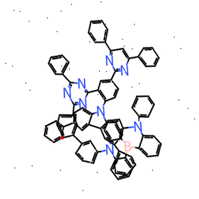 c1ccc(-c2ccc3c(c2)c2cc(-c4ccccc4)ccc2n3-c2ccc(-c3nc(-c4ccccc4)cc(-c4ccccc4)n3)cc2-c2nc(-c3ccccc3)nc(-c3cccc(-c4cccc(N5c6ccccc6B6c7ccccc7N(c7ccccc7)c7cccc5c76)c4)c3)n2)cc1